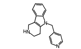 c1ccc2c(c1)c1c(n2Cc2ccncc2)CCNC1